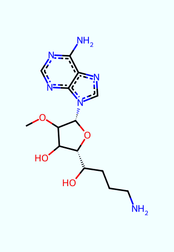 COC1C(O)[C@@H](C(O)CCCN)O[C@H]1n1cnc2c(N)ncnc21